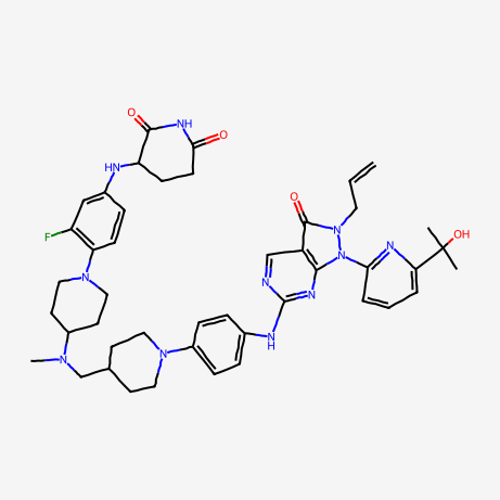 C=CCn1c(=O)c2cnc(Nc3ccc(N4CCC(CN(C)C5CCN(c6ccc(NC7CCC(=O)NC7=O)cc6F)CC5)CC4)cc3)nc2n1-c1cccc(C(C)(C)O)n1